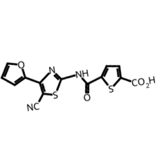 N#Cc1sc(NC(=O)c2ccc(C(=O)O)s2)nc1-c1ccco1